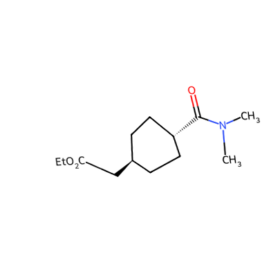 CCOC(=O)C[C@H]1CC[C@H](C(=O)N(C)C)CC1